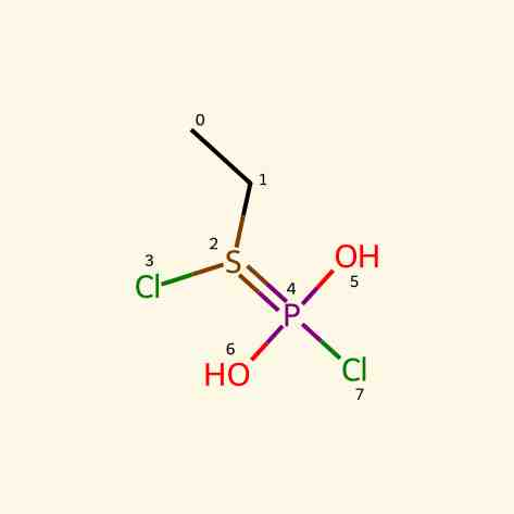 CCS(Cl)=P(O)(O)Cl